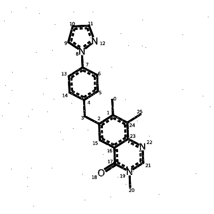 Cc1c(Cc2ccc(-n3cccn3)cc2)cc2c(=O)n(C)cnc2c1C